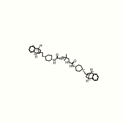 CC(C)(CNC(=O)N[C@H]1CC[C@H](CCN2[C@@H]3CC[C@H]2c2ccccc23)CC1)CNC(=O)N[C@H]1CC[C@H](CCN2[C@@H]3CC[C@H]2c2ccccc23)CC1